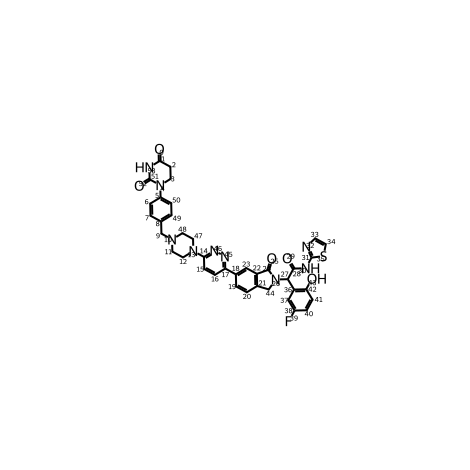 O=C1CCN(c2ccc(CN3CCN(c4ccc(-c5ccc6c(c5)C(=O)N(C(C(=O)Nc5nccs5)c5cc(F)ccc5O)C6)nn4)CC3)cc2)C(=O)N1